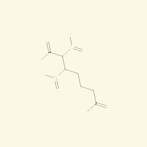 O=C(Cl)CCCC(C(C(=O)Cl)[N+](=O)[O-])[N+](=O)[O-]